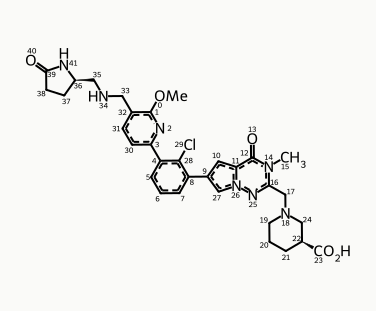 COc1nc(-c2cccc(-c3cc4c(=O)n(C)c(CN5CCC[C@H](C(=O)O)C5)nn4c3)c2Cl)ccc1CNC[C@H]1CCC(=O)N1